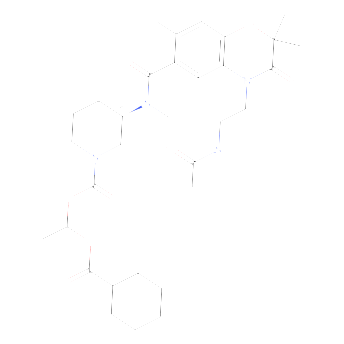 CCC(=O)NCCN1C(=O)C(C)(C)Oc2cc(C(F)(F)F)c(C(=O)N(C(C)C)[C@@H]3CCCN(C(=O)OC(C)OC(=O)C4CCCCC4)C3)cc21